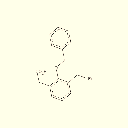 CC(C)Cc1cccc(CC(=O)O)c1OCc1ccccc1